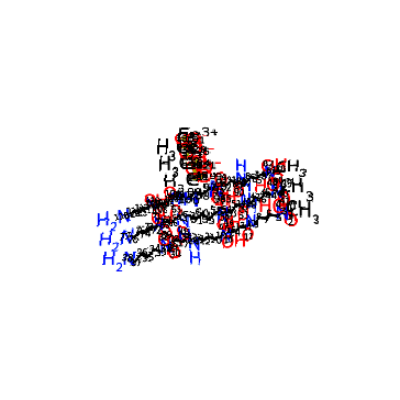 CC(=O)N(O)CCCCCNC(=O)CCC(=O)N(O)CCCCCNC(=O)CCC(=O)N(O)CCCCCN.CC(=O)N(O)CCCCCNC(=O)CCC(=O)N(O)CCCCCNC(=O)CCC(=O)N(O)CCCCCN.CC(=O)N(O)CCCCCNC(=O)CCC(=O)N(O)CCCCCNC(=O)CCC(=O)N(O)CCCCCN.CS(=O)(=O)[O-].CS(=O)(=O)[O-].CS(=O)(=O)[O-].[Fe+3]